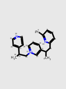 CC(C)c1cccc(CC(C)c2ccc[n+](CC(C)c3ccncc3)c2)n1